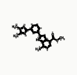 COC(=O)c1cnc(N)c2[nH]c(-c3cccc(-c4nc(C)n(C)n4)c3)cc12